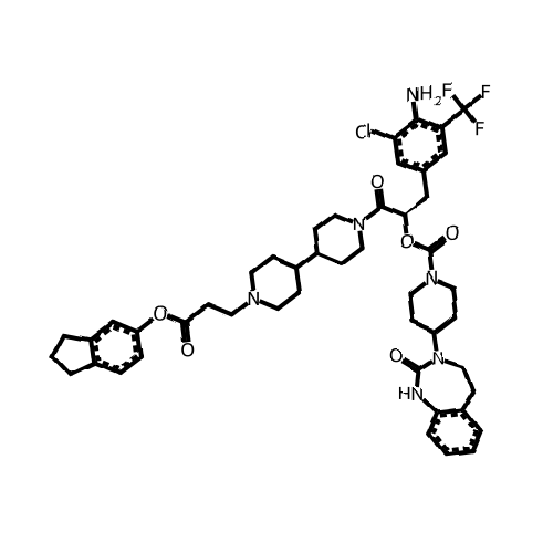 Nc1c(Cl)cc(C[C@@H](OC(=O)N2CCC(N3CCc4ccccc4NC3=O)CC2)C(=O)N2CCC(C3CCN(CCC(=O)Oc4ccc5c(c4)CCC5)CC3)CC2)cc1C(F)(F)F